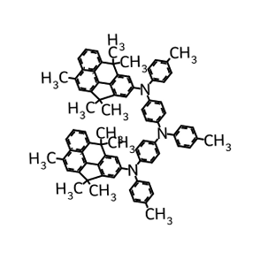 Cc1ccc(N(c2ccc(N(c3ccc(C)cc3)c3cc4c5c(c3)C(C)(C)c3cccc6c(C)cc(c-5c36)C4(C)C)cc2)c2ccc(N(c3ccc(C)cc3)c3cc4c5c(c3)C(C)(C)c3cccc6c(C)cc(c-5c36)C4(C)C)cc2)cc1